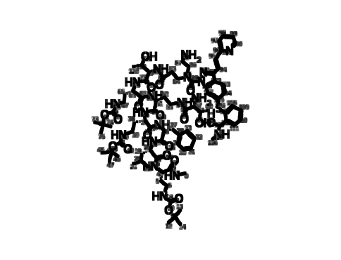 CNC(=O)[C@H](CCNC(=O)OC(C)(C)C)NC(=O)[C@H](CC(C)C)NC(=O)[C@@H](Cc1ccccc1)NC(=O)[C@H](CCNC(=O)OC(C)(C)C)NC(=O)[C@H](CCNC(=O)[C@@H](N)[C@@H](C)O)NC(=O)[C@H](CCNC(=O)OC(C)(C)C)NC(=O)[C@@H](NC(=O)CCN(CCN)C(=O)n1nc(/C=C/c2ccccn2)c2ccc(Sc3ccccc3C(O)NC)cc21)[C@@H](C)O